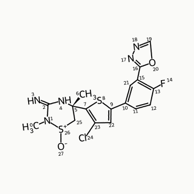 CN1C(=N)N[C@](C)(c2sc(-c3ccc(F)c(-c4nnco4)c3)cc2Cl)C[S+]1[O-]